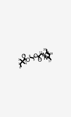 CCC(C)(C)C(=O)OCCOC(=O)Cn1nc(C)cc1C